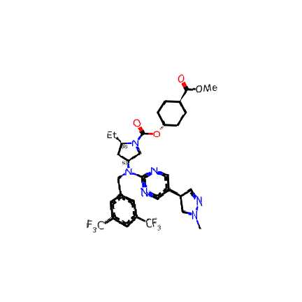 CC[C@@H]1C[C@H](N(Cc2cc(C(F)(F)F)cc(C(F)(F)F)c2)c2ncc(C3C=NN(C)C3)cn2)CN1C(=O)O[C@H]1CC[C@H](C(=O)OC)CC1